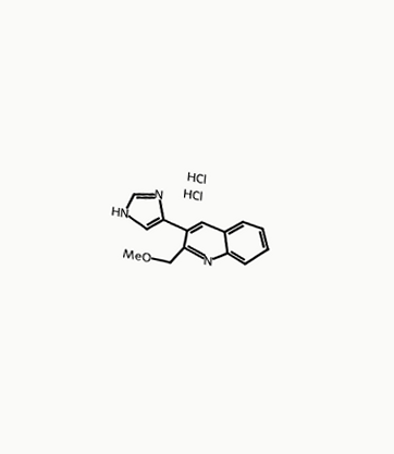 COCc1nc2ccccc2cc1-c1c[nH]cn1.Cl.Cl